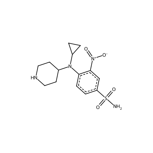 NS(=O)(=O)c1ccc(N(C2CCNCC2)C2CC2)c([N+](=O)[O-])c1